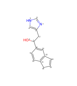 OC(Cc1c[nH]cn1)c1ccc2c(c1)C=CC2